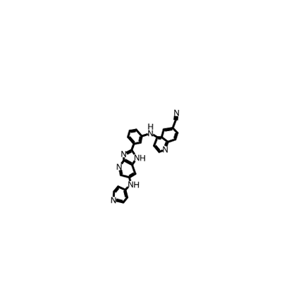 N#Cc1ccc2nccc(Nc3cccc(-c4nc5ncc(Nc6ccncc6)cc5[nH]4)c3)c2c1